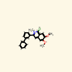 COc1cc2cc(-c3cccc(-c4ccccc4)c3)[n+](C)c(Cl)c2cc1OC